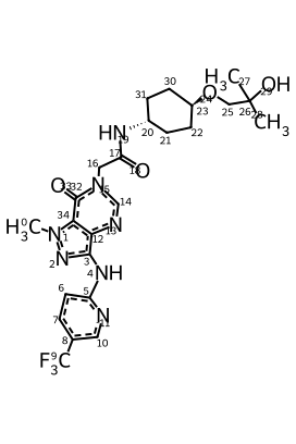 Cn1nc(Nc2ccc(C(F)(F)F)cn2)c2ncn(CC(=O)N[C@H]3CC[C@H](OCC(C)(C)O)CC3)c(=O)c21